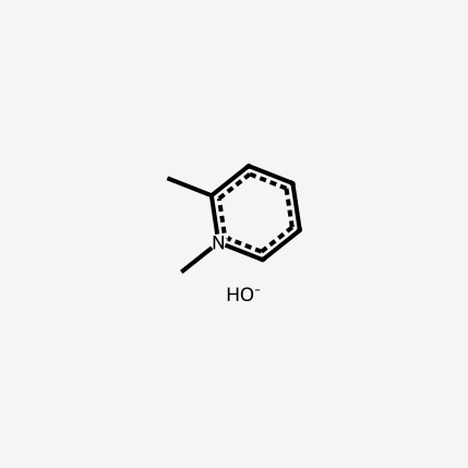 Cc1cccc[n+]1C.[OH-]